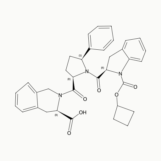 O=C(O)[C@H]1Cc2ccccc2CN1C(=O)[C@H]1CC[C@@H](c2ccccc2)N1C(=O)[C@H]1Cc2ccccc2N1C(=O)OC1CCC1